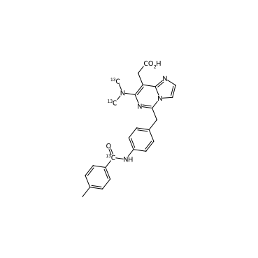 Cc1ccc([13C](=O)Nc2ccc(Cc3nc(N([13CH3])[13CH3])c(CC(=O)O)c4nccn34)cc2)cc1